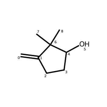 C=C1CCC(O)C1(C)C